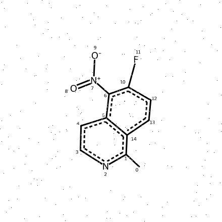 Cc1nccc2c([N+](=O)[O-])c(F)ccc12